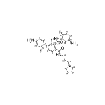 Nc1ccc(-c2ccc(C(=O)NCCCN3CCCC3)c3c2CNC3=O)c(F)c1.Nc1ccc(F)cc1